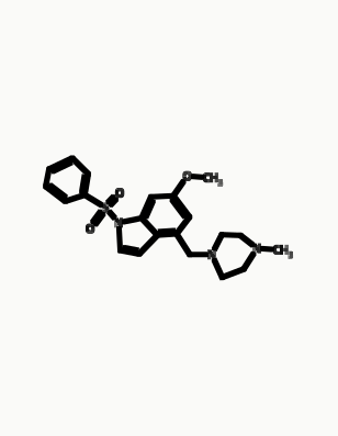 COc1cc(CN2CCN(C)CC2)c2ccn(S(=O)(=O)c3ccccc3)c2c1